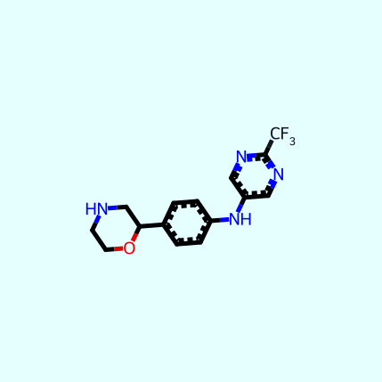 FC(F)(F)c1ncc(Nc2ccc(C3CNCCO3)cc2)cn1